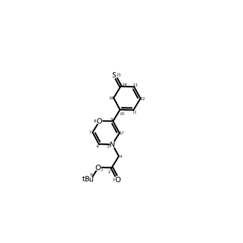 CC(C)(C)OC(=O)CN1C=COC(C2=CC=CC(=S)C2)=C1